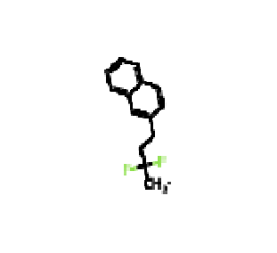 [CH2]C(F)(F)CCc1ccc2ccccc2c1